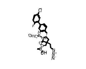 CB(O)OCC1(CCN=[N+]=[N-])C[C@@H](Cc2ccc(-c3cc(Cl)ccc3F)cc2)N(BC=O)C1=O